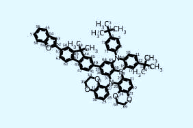 CC(C)(C)c1ccc(N2c3ccc(C(C)(C)C)cc3B3c4ccc5c(c4N(c4cccc6c4OCCO6)c4cc(-c6ccc7c(c6)C(C)(C)c6cc(-c8cc9ccccc9o8)ccc6-7)cc2c43)OCCO5)cc1